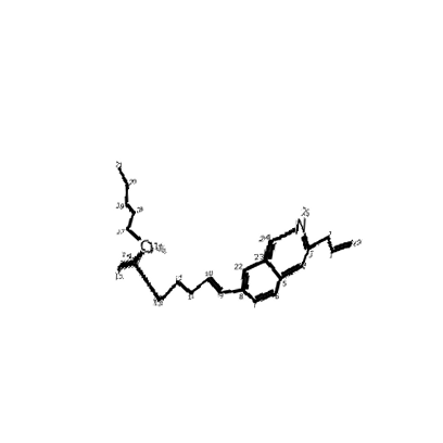 C=CCc1cc2ccc(C=CCCCC(C)OCCCCC)cc2cn1